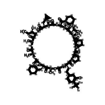 CC[C@H](C)[C@@H]1NC(=O)[C@H](CC2CC2)N(C)C(=O)C[C@@H](C(=O)N2CCCCC2)N(C)C(=O)[C@H](C(C)C)N(C)C(=O)C2(CCCC2)NC(=O)[C@@H]2CCCN2C(=O)[C@H](CCc2ccc(C(F)(F)F)c(Cl)c2)NC(=O)CN(C)C(=O)[C@H](CC2CCCCC2)N(C)C(=O)CN(C)C(=O)CN(C)C1=O